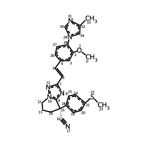 COc1cc(/C=C/c2nc3n(n2)CCC[C@]3(C#N)c2ccc(SC)cc2)ccc1-n1cnc(C)c1